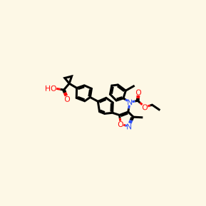 CCOC(=O)N(c1ccccc1C)c1c(C)noc1-c1ccc(-c2ccc(C3(C(=O)O)CC3)cc2)cc1